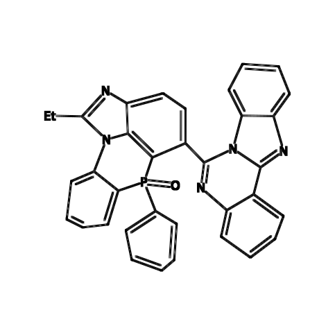 CCc1nc2ccc(-c3nc4ccccc4c4nc5ccccc5n34)c3c2n1-c1ccccc1P3(=O)c1ccccc1